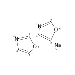 [Na].c1cocn1.c1cocn1